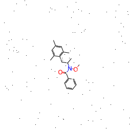 CON(C(=O)c1ccccc1)C(C)Cc1c(C)cc(C)cc1C